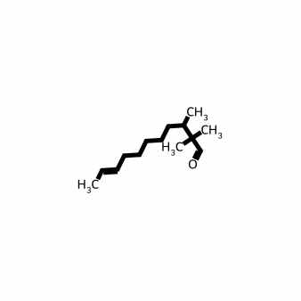 C/C=C/CCCCCC(C)C(C)(C)C=O